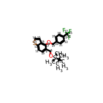 CC(C)(C)[Si](C)(C)OCc1ccc2sccc2c1OCc1ccc(C(F)(F)F)cc1